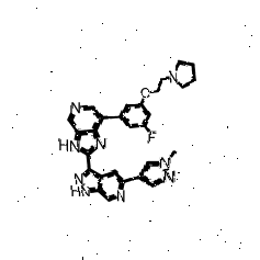 Cn1cc(-c2cc3c(-c4nc5c(-c6cc(F)cc(OCCN7CCCC7)c6)cncc5[nH]4)n[nH]c3cn2)cn1